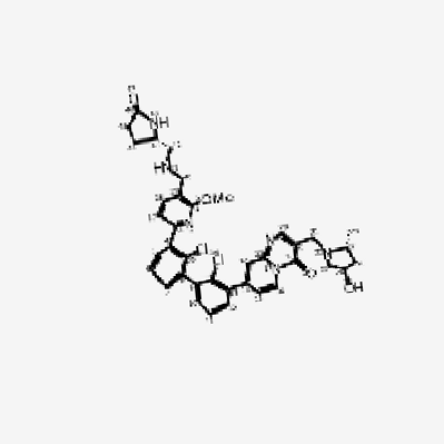 COc1nc(-c2cccc(-c3cccc(-c4ccn5c(=O)c(CN6C[C@H](O)C[C@H]6C)cnc5c4)c3Cl)c2Cl)ccc1CNC[C@@H]1CCC(=O)N1